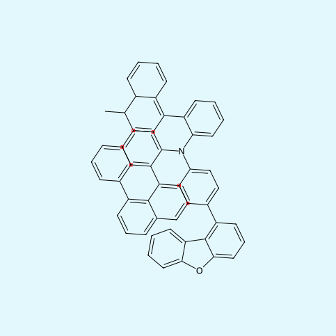 CC1C=CC(c2ccccc2N(c2ccc(-c3cccc4oc5ccccc5c34)cc2)c2ccccc2-c2cccc3cccc(-c4ccccc4)c23)=C2C=CC=CC21